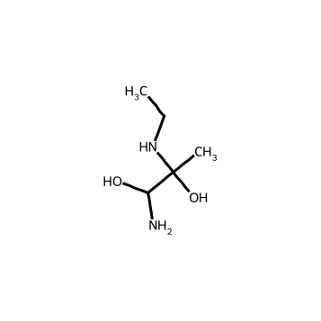 CCNC(C)(O)C(N)O